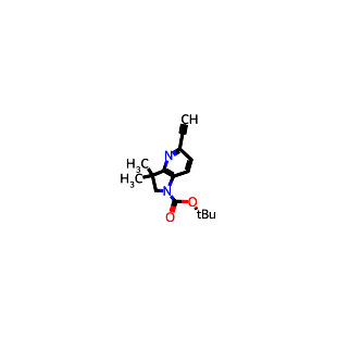 C#Cc1ccc2c(n1)C(C)(C)CN2C(=O)OC(C)(C)C